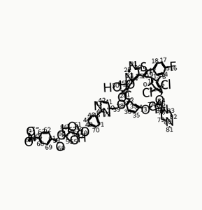 Cc1c(Cl)c2c(Cl)c(C)c1-c1c(-c3ccc(F)cc3)sc3ncnc(c13)O[C@@H](C(=O)O)Cc1cc(ccc1OCc1ccnc(-c3ccc(O[C@H]4CO[C@H]5[C@@H]4OC[C@@H]5OC(=O)c4ccc([N+](=O)[O-])cc4)cc3)n1)OC[C@@H](CN1CCN(C)CC1)O2